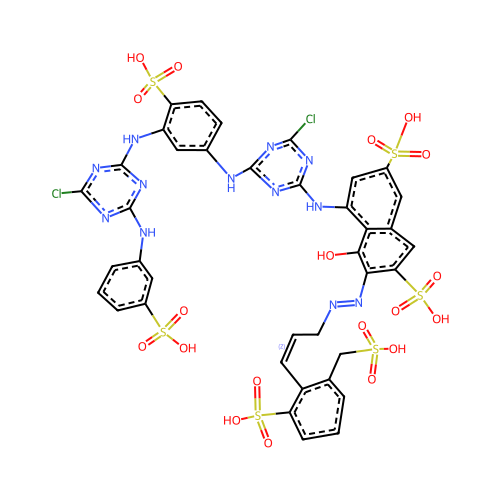 O=S(=O)(O)Cc1cccc(S(=O)(=O)O)c1/C=C\CN=Nc1c(S(=O)(=O)O)cc2cc(S(=O)(=O)O)cc(Nc3nc(Cl)nc(Nc4ccc(S(=O)(=O)O)c(Nc5nc(Cl)nc(Nc6cccc(S(=O)(=O)O)c6)n5)c4)n3)c2c1O